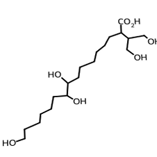 O=C(O)C(CCCCCCC(O)C(O)CCCCCCO)C(CO)CO